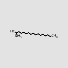 CCCCCCCCCCCCCCCC(O)[SiH3]